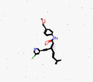 COCc1ccc(NC(=O)/C=C(\C#Cc2cncc(F)c2)CCC(C)C)cc1